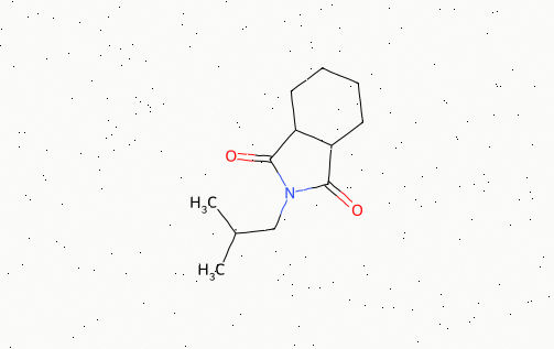 C[C](C)CN1C(=O)C2CCCCC2C1=O